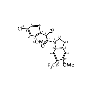 COc1cc(Cl)ccc1C(Br)C(=O)N1CCc2cc(OC)c(C(F)(F)F)cc21